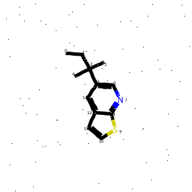 CCC(C)(C)c1cnc2sccc2c1